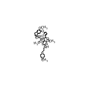 COc1cc2c(cc1Oc1ccc(C(=O)Nc3c(OC)nc(NCCCN4CCN(C)CC4)nc3OC)o1)[Si](C)(C)CC2